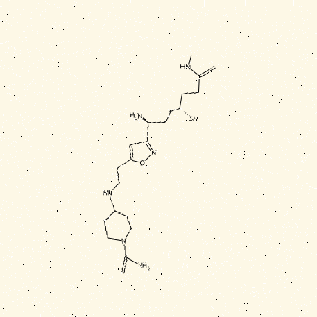 C=C(CC[C@H](S)CC[C@H](N)c1cc(CCNC2CCN(C(=C)N)CC2)on1)NC